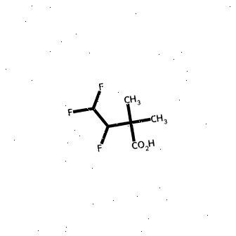 CC(C)(C(=O)O)C(F)C(F)F